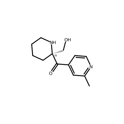 Cc1cc(C(=O)[C@@]2(CO)CCCCN2)ccn1